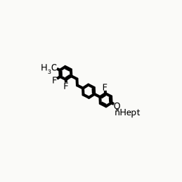 CCCCCCCOc1ccc(C2=CCC(CCc3ccc(C)c(F)c3F)CC2)c(F)c1